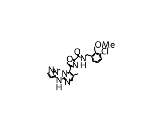 COCc1c(Cl)cccc1CNC(=O)c1nc(-c2nc(Nc3ccnn3C)ncc2C)co1